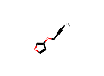 CC#CCOc1[c]occ1